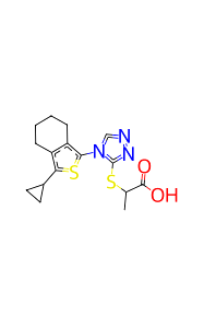 CC(Sc1nncn1-c1sc(C2CC2)c2c1CCCC2)C(=O)O